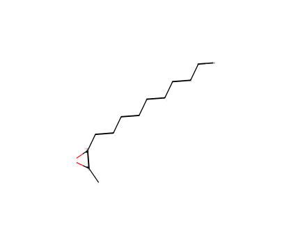 CCCCCCCCCCCCCCCCCC1OC1C